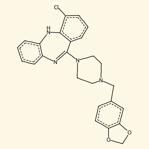 Clc1cccc2c1Nc1ccccc1N=C2N1CCN(Cc2ccc3c(c2)OCO3)CC1